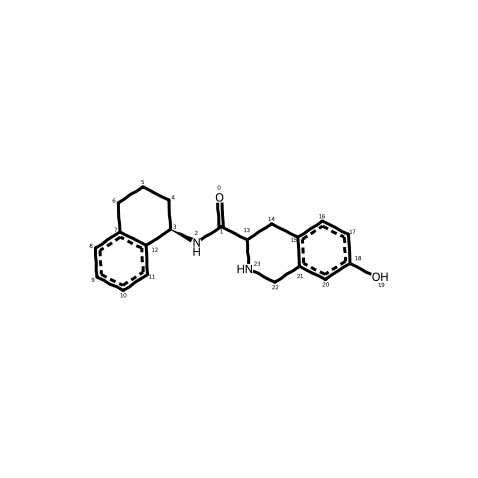 O=C(N[C@@H]1CCCc2ccccc21)C1Cc2ccc(O)cc2CN1